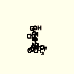 C[C@@H]1COCCN1c1nc(-c2ccc(F)cc2)cc(-c2ccc(-c3ncc(C(=O)O)cc3Cl)nc2)n1